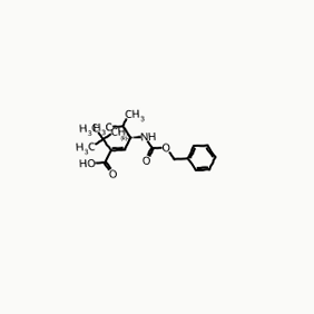 CC(C)[C@H](C=C(C(=O)O)C(C)(C)C)NC(=O)OCc1ccccc1